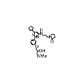 CNCC(O)COc1cccc(-c2nc(NCCCN3CCCC3=O)cc(C3=CCCC3)n2)c1